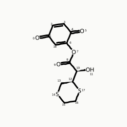 O=C1C=CC(=O)C(OC(=O)[C@@H](O)[C@@H]2CSCCS2)=C1